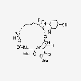 CC[C@@H]1[C@@H]2CN(C(=O)[C@H](C(C)(C)C)NC(=O)O[C@@H]3CC3CC/C=C/C(F)(F)c3nc4ccc(C#N)cc4nc3O2)[C@@H]1C(=O)OC(C)(C)C